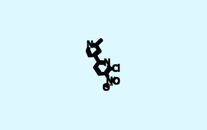 Cc1cc(-c2ccc([N+](=O)[O-])c(Cl)n2)ccn1